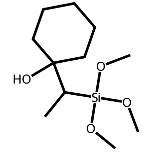 CO[Si](OC)(OC)C(C)C1(O)CCCCC1